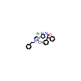 Cc1n([C@@H]2CC[C@H](C(C(N)=O)(c3ccccc3)c3ccccc3)C2)cc[n+]1CCc1ccccc1.[Br-]